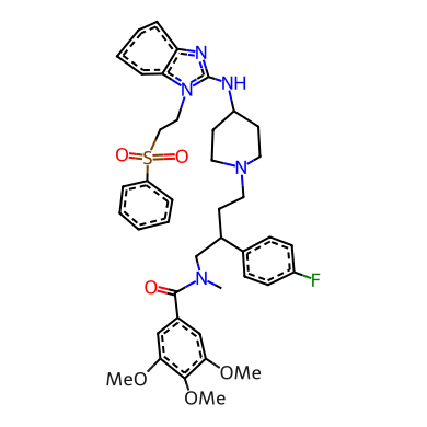 COc1cc(C(=O)N(C)CC(CCN2CCC(Nc3nc4ccccc4n3CCS(=O)(=O)c3ccccc3)CC2)c2ccc(F)cc2)cc(OC)c1OC